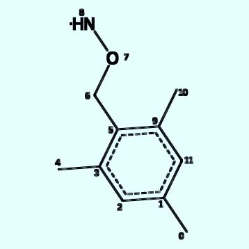 Cc1cc(C)c(CO[NH])c(C)c1